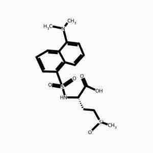 CN(C)c1cccc2c(S(=O)(=O)N[C@@H](CC[S+](C)[O-])C(=O)O)cccc12